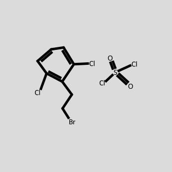 Clc1cccc(Cl)c1CCBr.O=S(=O)(Cl)Cl